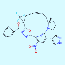 O=[N+]([O-])c1cc(-c2cn[nH]c2)c2nc1-c1nnc(o1)C(OCc1ccccc1)(C(F)(F)F)CCC=CC[C@@H]1CCCN21